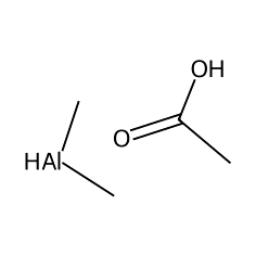 CC(=O)O.[CH3][AlH][CH3]